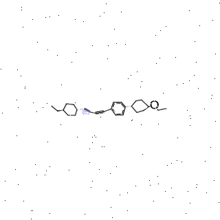 CCO[C@H]1CC[C@H](c2ccc(C#C/C=C/[C@H]3CC[C@H](CC)CC3)cc2)CC1